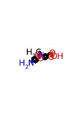 CCN(c1cccc(CS(=O)(=O)O)c1)S(=O)(=O)c1ccc(N)cc1